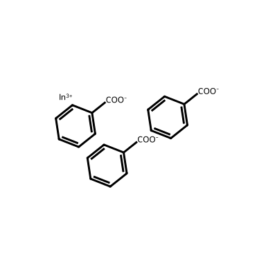 O=C([O-])c1ccccc1.O=C([O-])c1ccccc1.O=C([O-])c1ccccc1.[In+3]